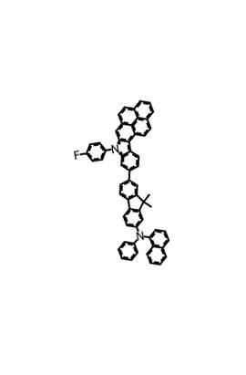 CC1(C)c2cc(-c3ccc4c5c6ccc7cccc8ccc(cc5n(-c5ccc(F)cc5)c4c3)c6c87)ccc2-c2ccc(N(c3ccccc3)c3cccc4ccccc34)cc21